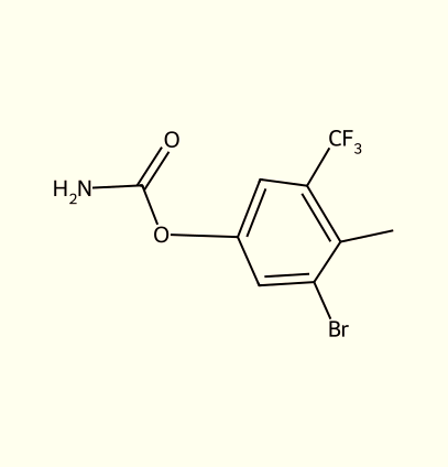 Cc1c(Br)cc(OC(N)=O)cc1C(F)(F)F